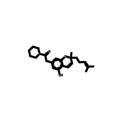 CC(C)=CCCC1(C)C=Cc2c(O)cc(CC(=O)N3CCCCC3)cc2O1